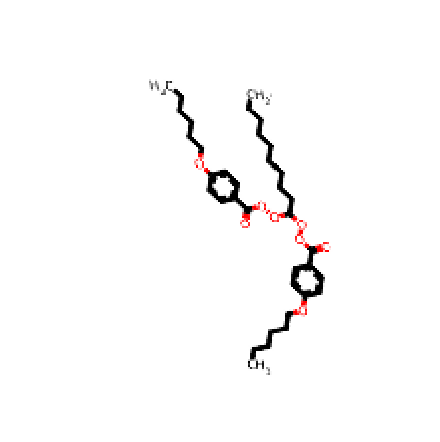 [CH2]CCCCCCCC[C](OOC(=O)c1ccc(OCCCCCC)cc1)OOC(=O)c1ccc(OCCCCCC)cc1